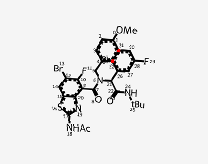 COc1ccc(CN(C(=O)c2c(F)c(Br)cc3sc(NC(C)=O)nc23)C(C(=O)NC(C)(C)C)c2cc(F)ccc2Cl)cc1